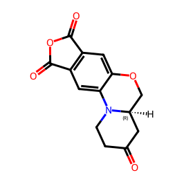 O=C1CCN2c3cc4c(cc3OC[C@H]2C1)C(=O)OC4=O